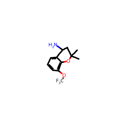 CC1(C)CC(N)c2cccc(OC(F)(F)F)c2O1